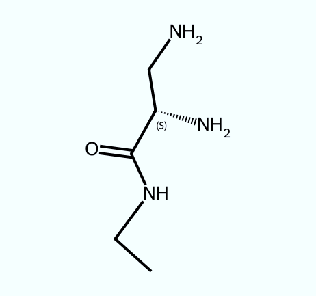 CCNC(=O)[C@@H](N)CN